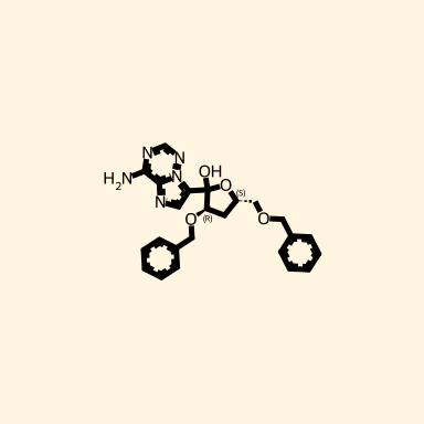 Nc1ncnn2c(C3(O)O[C@H](COCc4ccccc4)C[C@H]3OCc3ccccc3)cnc12